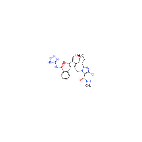 CCCc1nc(Cl)c(C(=O)NC)n1Cc1c2ccocc-2c(Br)c1-c1ccccc1C(=O)Nc1nnn[nH]1